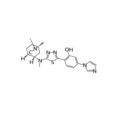 CN(c1nnc(-c2ccc(-n3ccnc3)cc2O)s1)[C@H]1C[C@@]2(C)CC[C@@H]1CN2C